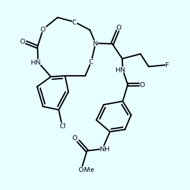 COC(=O)Nc1ccc(C(=O)NC(CCF)C(=O)N2CCCOC(=O)Nc3ccc(Cl)cc3CC2)cc1